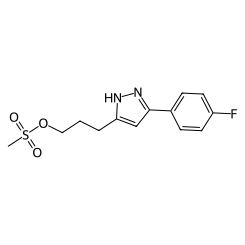 CS(=O)(=O)OCCCc1cc(-c2ccc(F)cc2)n[nH]1